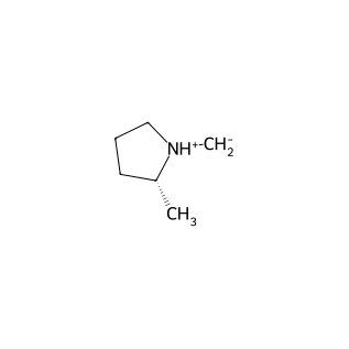 [CH2-][NH+]1CCC[C@H]1C